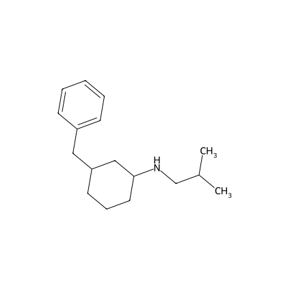 CC(C)CNC1CCCC(Cc2ccccc2)C1